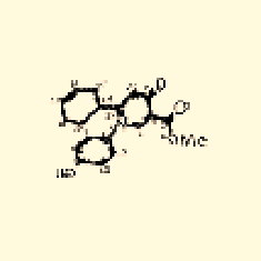 COC(=O)c1cn(-c2ccc(O)cc2)c(C2CC=CCC2)cc1=O